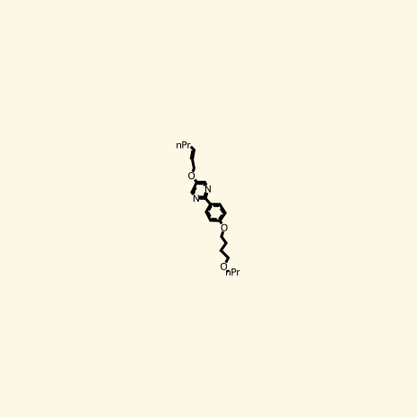 CCCC=CCOc1cnc(-c2ccc(OCCCCOCCC)cc2)nc1